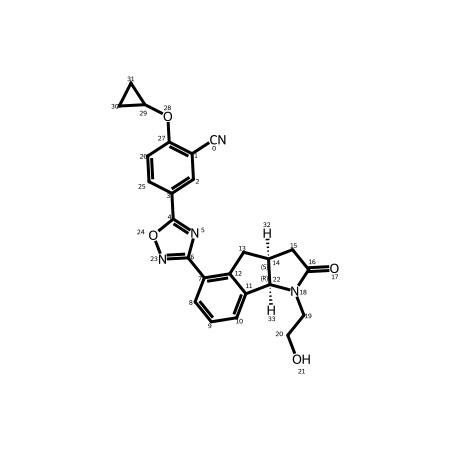 N#Cc1cc(-c2nc(-c3cccc4c3C[C@H]3CC(=O)N(CCO)[C@@H]43)no2)ccc1OC1CC1